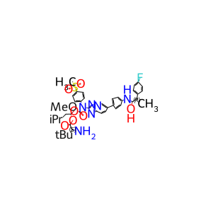 COc1cc(S(C)(=O)=O)ccc1N(C(=O)OC(CC(C)C)OC(=O)[C@@H](N)C(C)(C)C)c1nc2ccc(-c3ccc(NC(O)[C@H](C)c4ccc(F)cc4)cc3)cn2n1